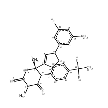 CN1C(=N)N[C@](C)(C2=CC(c3cc(N)cc(F)c3)CS2)[C@H](c2ccc(C(C)(F)F)cc2)C1=O